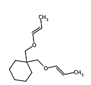 CC=COCC1(COC=CC)CCCCC1